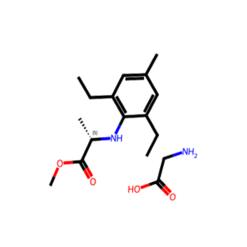 CCc1cc(C)cc(CC)c1N[C@@H](C)C(=O)OC.NCC(=O)O